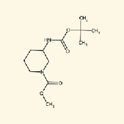 COC(=O)N1CCCC(NC(=O)OC(C)(C)C)C1